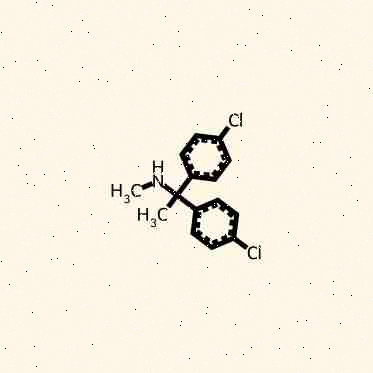 CNC(C)(c1ccc(Cl)cc1)c1ccc(Cl)cc1